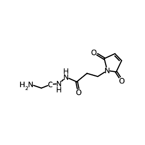 NCCNNC(=O)CCN1C(=O)C=CC1=O